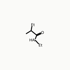 C[CH2][AlH][C](=O)C(C)CC